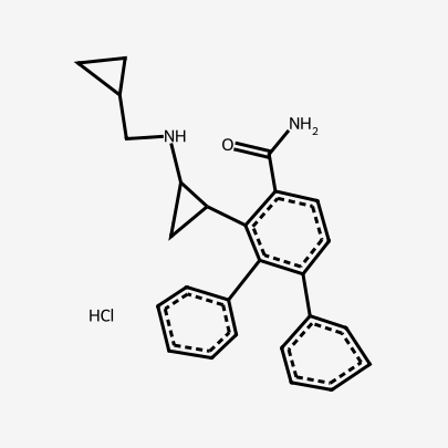 Cl.NC(=O)c1ccc(-c2ccccc2)c(-c2ccccc2)c1C1CC1NCC1CC1